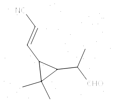 CC(C=O)C1C(C=CC#N)C1(C)C